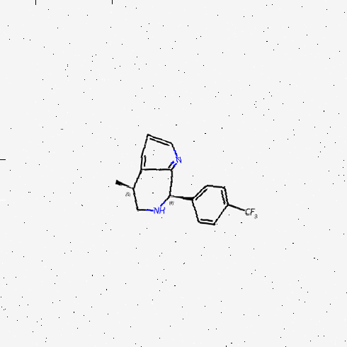 C[C@@H]1CN[C@H](c2ccc(C(F)(F)F)cc2)c2ncccc21